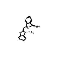 CN1C(=CC2=NC(=N)c3ccccc32)Sc2ccccc21